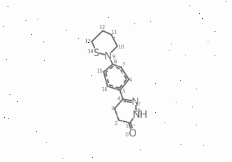 O=C1CCC(c2ccc(N3CCCCS3)cc2)=NN1